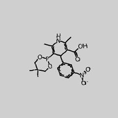 CC1=C(C(=O)O)C(c2cccc([N+](=O)[O-])c2)C(P2OCC(C)(C)CO2)=C(C)N1